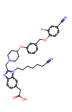 N#CCCCCCCn1c(CN2CCC(Oc3cccc(COc4ccc(C#N)cc4F)c3)CC2)nc2ccc(CC(=O)O)cc21